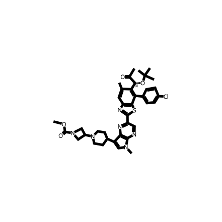 COC(=O)N1CC(N2CCC(c3cn(C)c4ncc(-c5nc6cc(C)c([C@H](OC(C)(C)C)C(C)=O)c(-c7ccc(Cl)cc7)c6s5)nc34)CC2)C1